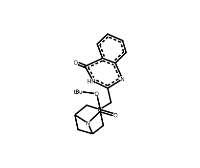 CC(C)(C)OC(=O)N1C2CC1CN(Cc1nc3ccccc3c(=O)[nH]1)C2